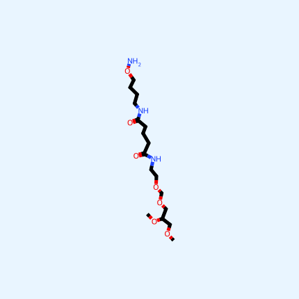 COCC(COCOCCNC(=O)CCCC(=O)NCCCCON)OC